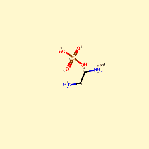 NCCN.O=S(=O)(O)O.[Pd]